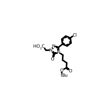 CC(C)(C)OC(=O)CCCn1c(-c2ccc(Cl)cc2)nn(CC(=O)O)c1=O